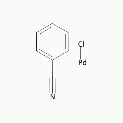 N#Cc1ccccc1.[Cl][Pd]